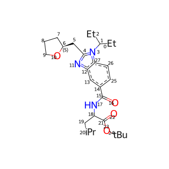 CCC(CC)n1c(C[C@@H]2CCCO2)nc2cc(C(=O)NC(CC(C)C)C(=O)OC(C)(C)C)ccc21